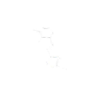 CCc1nc(C=Cc2cccc(Cl)c2Cl)no1